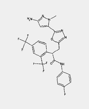 Cn1nc(N)cc1-c1nnc(CC(C(=O)Nc2ccc(F)cc2)c2ccc(C(F)(F)F)cc2C(F)(F)F)o1